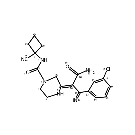 N#CC1(NC(=O)N2CCN/C(=C(\C(=N)c3cccc(Cl)c3)C(N)=O)C2)CCC1